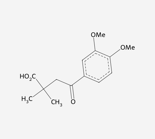 COc1ccc(C(=O)CC(C)(C)C(=O)O)cc1OC